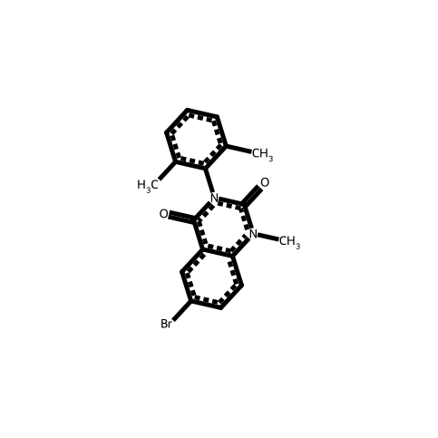 Cc1cccc(C)c1-n1c(=O)c2cc(Br)ccc2n(C)c1=O